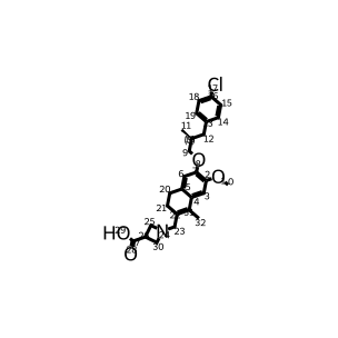 COc1cc2c(cc1OC[C@@H](C)Cc1ccc(Cl)cc1)CCC(CN1CC(C(=O)O)C1)=C2C